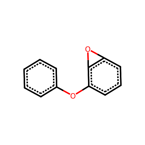 c1ccc(Oc2cccc3c2O3)cc1